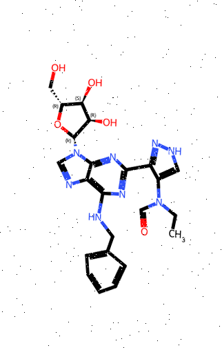 CCN(C=O)c1c[nH]nc1-c1nc(NCc2ccccc2)c2ncn([C@@H]3O[C@H](CO)[C@@H](O)[C@H]3O)c2n1